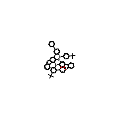 CC(C)(C)c1ccc(N2B3c4cc5c(cc4N(c4ccc(C(C)(C)C)cc4-c4ccccc4)c4c3c(cc3oc6ccccc6c43)-c3cc(-c4ccccc4)ccc32)sc2ccccc25)cc1